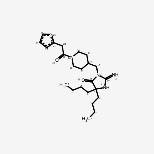 CCCCC1(CCCC)NC(=N)N(CC2CCN(C(=O)Cc3cccs3)CC2)C1=O